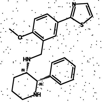 COc1ccc(-c2nccs2)cc1CN[C@H]1CCCN[C@H]1c1ccccc1